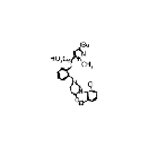 Cn1nc(C(C)(C)C)cc1N(Cc1ccccc1CN1CCC(=O)N(c2c(Cl)cccc2Cl)C1)C(=O)O